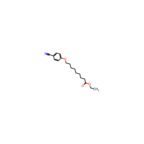 CCOC(=O)CCCCCCCCOc1ccc(C#N)cc1